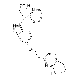 O=C(O)CC(c1ccccn1)n1ncc2cc(OCCc3ccc4c(n3)NCCC4)ccc21